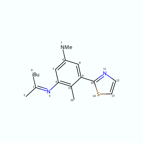 CCC(C)/C(C)=N\c1cc(NC)cc(-c2nccs2)c1C